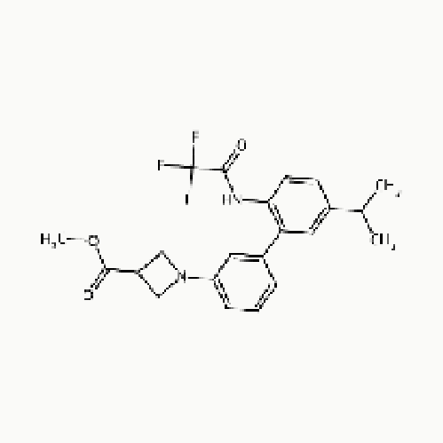 COC(=O)C1CN(c2cccc(-c3cc(C(C)C)ccc3NC(=O)C(F)(F)F)c2)C1